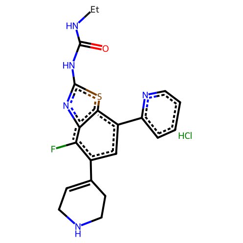 CCNC(=O)Nc1nc2c(F)c(C3=CCNCC3)cc(-c3ccccn3)c2s1.Cl